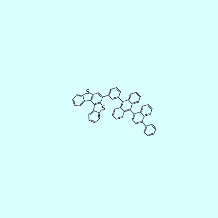 c1ccc(-c2ccc(-c3c4ccccc4c(-c4cccc(-c5cc6sc7ccccc7c6c6c5sc5ccccc56)c4)c4ccccc34)c3ccccc23)cc1